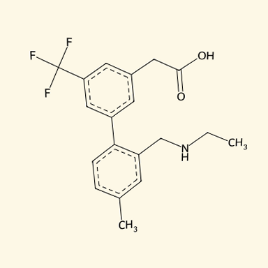 CCNCc1cc(C)ccc1-c1cc(CC(=O)O)cc(C(F)(F)F)c1